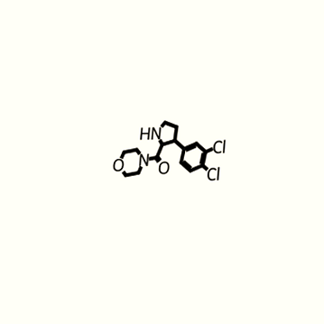 O=C(C1NCCC1c1ccc(Cl)c(Cl)c1)N1CCOCC1